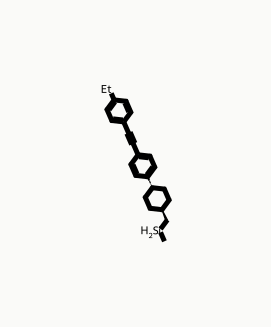 CCc1ccc(C#Cc2ccc([C@H]3CC[C@H](C[SiH2]C)CC3)cc2)cc1